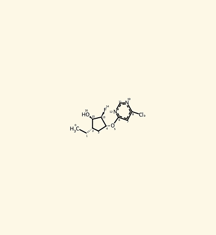 CC[C@H]1C[C@@H](Oc2cc(Cl)ncn2)[C@H](F)[C@@H]1O